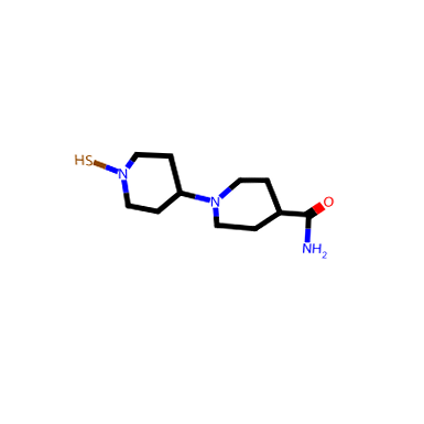 NC(=O)C1CCN(C2CCN(S)CC2)CC1